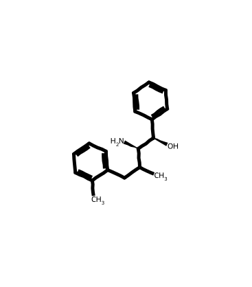 Cc1ccccc1CC(C)[C@@H](N)[C@H](O)c1ccccc1